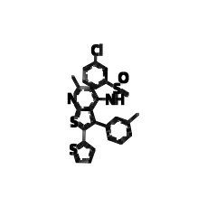 C=S(=O)(Nc1cc(C)nc2sc(-c3cccs3)c(-c3cccc(C)c3)c12)c1cccc(Cl)c1